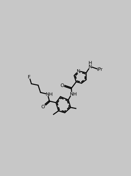 Cc1cc(C)c(C(=O)NCCCF)cc1NC(=O)c1ccc(NC(C)C)nc1